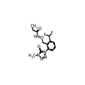 CCC(=O)NOCc1c(C(F)F)cccc1-n1nnn(C)c1=O